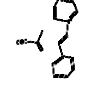 C(=C[n+]1ccccc1)c1ccccc1.C=C(C)C(=O)[O-]